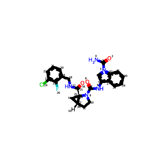 NC(=O)n1cc(NC(=O)N2CC[C@@H]3C[C@@]32C(=O)NCc2cccc(Cl)c2F)c2ccccc21